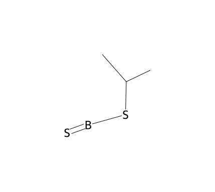 CC(C)SB=S